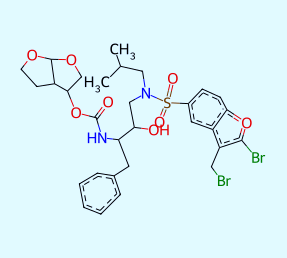 CC(C)CN(CC(O)C(Cc1ccccc1)NC(=O)OC1COC2OCCC12)S(=O)(=O)c1ccc2oc(Br)c(CBr)c2c1